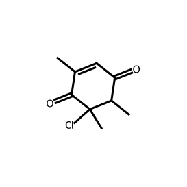 CC1=CC(=O)C(C)C(C)(Cl)C1=O